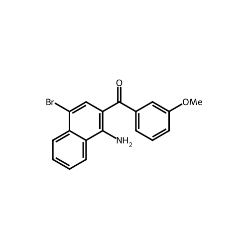 COc1cccc(C(=O)c2cc(Br)c3ccccc3c2N)c1